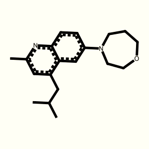 Cc1cc(CC(C)C)c2cc(N3CCCOCC3)ccc2n1